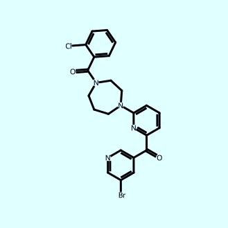 O=C(c1cncc(Br)c1)c1cccc(N2CCCN(C(=O)c3ccccc3Cl)CC2)n1